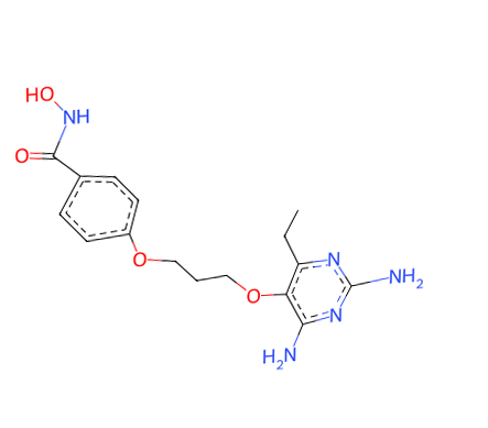 CCc1nc(N)nc(N)c1OCCCOc1ccc(C(=O)NO)cc1